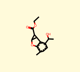 CCOC(=O)C1C2Oc3c(C)ccc(C(C)O)c3C21